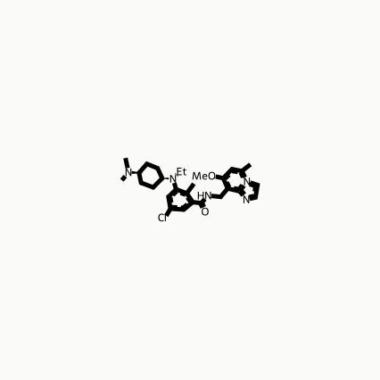 CCN(c1cc(Cl)cc(C(=O)NCc2c(OC)cc(C)n3ccnc23)c1C)[C@H]1CC[C@H](N(C)C)CC1